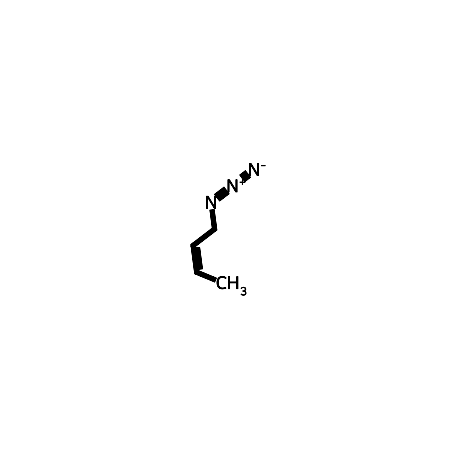 C/C=C\CN=[N+]=[N-]